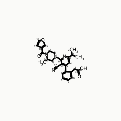 CC(C)c1cc(-c2ccccc2CC(=O)O)c(C#N)c(N2CCN(C(=O)c3ccoc3)[C@H](C)C2)n1